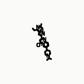 CCc1nc(C)cn2nc(-c3cc(=O)n4cc(C5CCN(C(C)C)CC5)ccc4n3)cc12